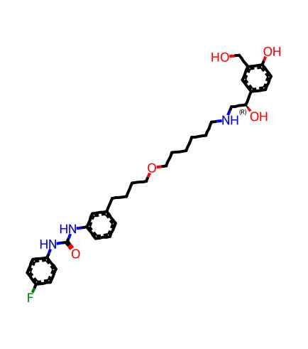 O=C(Nc1ccc(F)cc1)Nc1cccc(CCCCOCCCCCCNC[C@H](O)c2ccc(O)c(CO)c2)c1